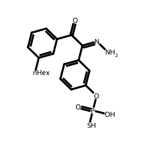 CCCCCCc1cccc(C(=O)/C(=N/N)c2cccc(OP(=O)(O)S)c2)c1